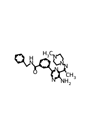 CC(=NN1CCN(C)CC1)c1nc(-c2cccc(C(=O)NCc3ccccc3)c2)cnc1N